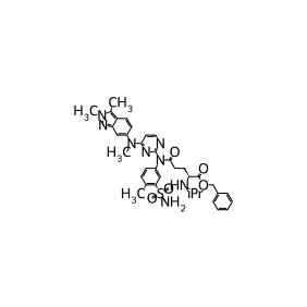 Cc1ccc(N(C(=O)CC[C@H](NC(C)C)C(=O)OCc2ccccc2)c2nccc(N(C)c3ccc4c(C)n(C)nc4c3)n2)cc1S(N)(=O)=O